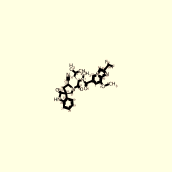 COc1cc(C(=O)N(C)[C@@H](CC(C)C)C(=O)N2C[C@]3(C[C@H]2C#N)C(=O)Nc2ccccc23)cn2cc(C(F)F)nc12